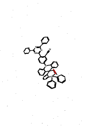 N#Cc1cc(N2c3ccccc3C3(c4ccccc42)c2ccccc2[Si](c2ccccc2)(c2ccccc2)c2ccccc23)ccc1-c1nc(-c2ccccc2)nc(-c2ccccc2)n1